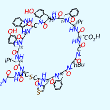 CCCC[C@H]1C(=O)N(C)CC(=O)N[C@@H](CC(=O)O)C(=O)N[C@@H](C(C)C)C(=O)N(C)[C@@H](Cc2ccccc2)C(=O)N[C@H]2Cc3ccc(O)cc3N(CC(=O)N[C@@H](Cc3c[nH]c4ccccc34)C(=O)N[C@@H](Cc3ccc(O)cc3)C(=O)N[C@@H](CC(C)C)C(=O)N[C@H](C(=O)NCC(N)=O)CSCC(=O)N[C@@H](Cc3cscn3)C(=O)N(C)[C@@H](Cc3ccccc3)C(=O)N1C)C2=O